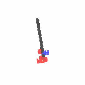 CCCCCCCCCCCCCCCCCCC(=O)NCCS(=O)(=O)O